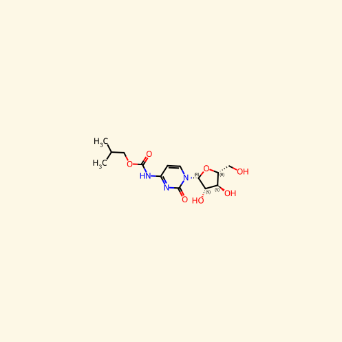 CC(C)COC(=O)Nc1ccn([C@@H]2O[C@H](CO)[C@@H](O)[C@@H]2O)c(=O)n1